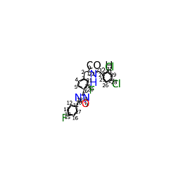 O=C(O)C(Cc1ccc(-c2noc(-c3ccc(F)cc3)n2)c(F)c1)NCc1ccc(Cl)cc1Cl